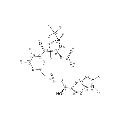 Cc1nc2cc([C@@H](O)C/C=C/CCC[C@H](C)[C@H](C)[C@@H](C)C(=O)C(C)(C)[C@H](CC(=O)O)O[Si](C)(C)C(C)(C)C)ccc2n1C